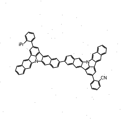 CC(C)c1ccccc1-c1cc2c3cc4ccccc4cc3n3c4cc5ccc(-c6ccc7cc8c(cc7c6)c6cc(-c7ccccc7C#N)cc7c9cc%10ccccc%10cc9n8c76)cc5cc4c(c1)c23